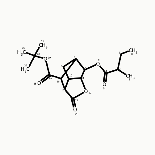 CCC(C)C(=O)OC1C2CC3C1OC(=O)C3C2C(=O)OC(C)(C)C